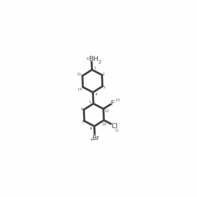 BC1CCC(C2CCC(Br)C(Cl)C2F)CC1